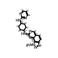 CC(C)n1nnc2ccc3cnc(NC4CCC(Nc5ncccn5)CC4)nc3c21